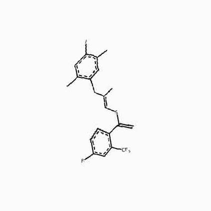 C=C(S/C=C(\C)Cc1cc(C)c(I)cc1C)c1ccc(F)cc1C(F)(F)F